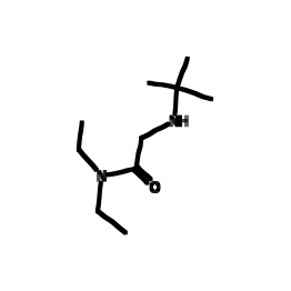 CCN(CC)C(=O)CNC(C)(C)C